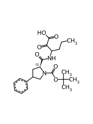 CCCC(NC(=O)[C@@H]1CC(c2ccccc2)CN1C(=O)OC(C)(C)C)C(=O)C(=O)O